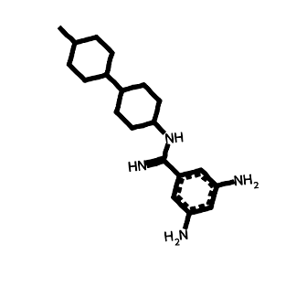 CC1CCC(C2CCC(NC(=N)c3cc(N)cc(N)c3)CC2)CC1